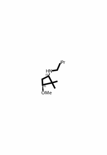 CO[C@H]1C[C@H](NCC(C)C)C1(C)C